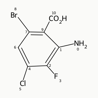 Nc1c(F)c(Cl)cc(Br)c1C(=O)O